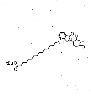 CC(C)(C)OC(=O)CCCCCCCCCCCCCCNc1cccc2c1CN(C1CCC(=O)NC1=O)C2=O